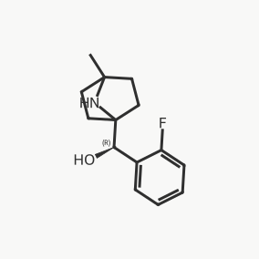 CC12CCC([C@H](O)c3ccccc3F)(CC1)N2